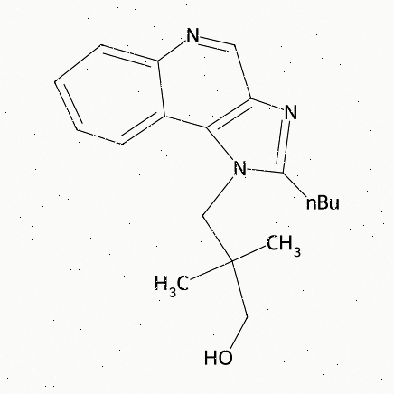 CCCCc1nc2cnc3ccccc3c2n1CC(C)(C)CO